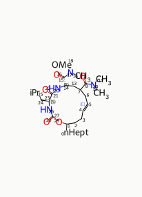 CCCCCCCC1CC/C=C/CC(C(=O)N(C)C)C[C@@H](C(=O)N(C)OC)NC(=O)[C@H](CC(C)C)NC(=O)O1